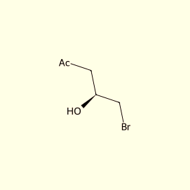 CC(=O)C[C@H](O)CBr